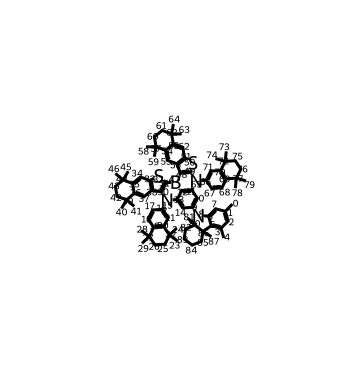 Cc1cc(C)c2c(c1)N(c1cc3c4c(c1)N(c1ccc5c(c1)C(C)(C)CCC5(C)C)c1c(sc5cc6c(cc15)C(C)(C)CCC6(C)C)B4c1c(sc4cc5c(cc14)C(C)(C)CCC5(C)C)N3c1ccc3c(c1)C(C)(C)CCC3(C)C)C1(C)CCCCC21C